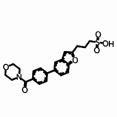 O=C(c1ccc(-c2ccc3oc(CCCS(=O)(=O)O)cc3c2)cc1)N1CCOCC1